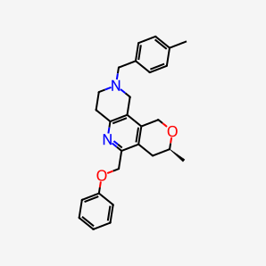 Cc1ccc(CN2CCc3nc(COc4ccccc4)c4c(c3C2)CO[C@@H](C)C4)cc1